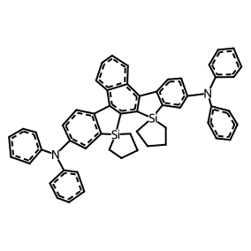 c1ccc(N(c2ccccc2)c2ccc3c(c2)[Si]2(CCCC2)c2c4c(c5ccccc5c2-3)-c2ccc(N(c3ccccc3)c3ccccc3)cc2[Si]42CCCC2)cc1